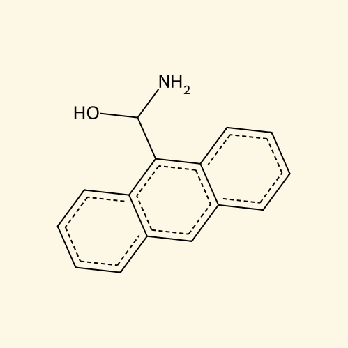 NC(O)c1c2ccccc2cc2ccccc12